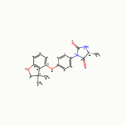 C[C@H]1NC(=O)N(c2ccc(Oc3cccc4c3C(C)(C)CO4)cc2)C1=O